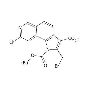 CC(C)(C)OC(=O)n1c(CBr)c(C(=O)O)c2ccc3cnc(Cl)cc3c21